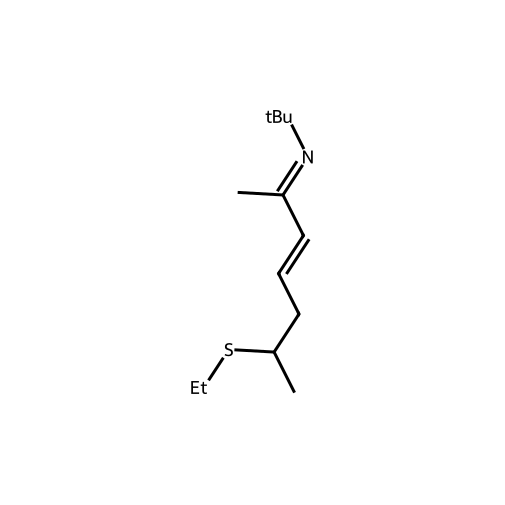 CCSC(C)C/C=C/C(C)=N/C(C)(C)C